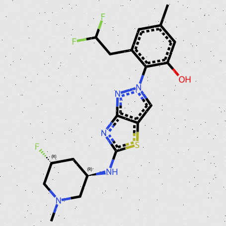 Cc1cc(O)c(-n2cc3sc(N[C@@H]4C[C@@H](F)CN(C)C4)nc3n2)c(CC(F)F)c1